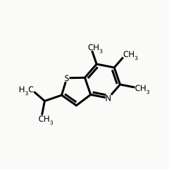 Cc1nc2cc(C(C)C)sc2c(C)c1C